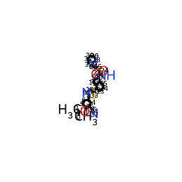 CC(C)Oc1ccc(-c2ncc(-c3cccc4c3CC[C@@H]4NS(=O)(=O)CCN3CCCCC3)s2)cc1C#N